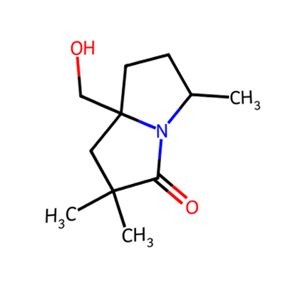 CC1CCC2(CO)CC(C)(C)C(=O)N12